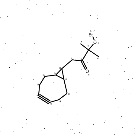 CCOC(C)(C)C(=O)CC1C2CCC#CCCC21